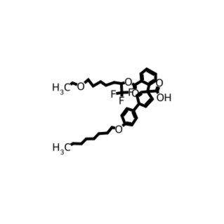 CCCCCCCCOc1ccc(C2C=CC(C(=O)O)(c3ccccc3C(=O)OC(CCCCCOCC)C(F)(F)F)C=C2)cc1